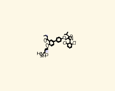 C/C=C\C(=O)C1C=C(c2ccc(OCc3c(-c4c(Cl)cccc4Cl)noc3C(C)C)cc2)C=CC1O/C=C/C(=O)NS